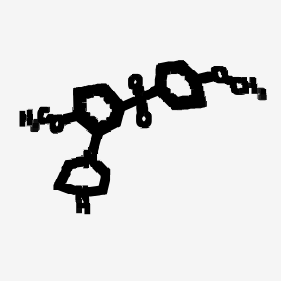 COc1ccc(S(=O)(=O)c2ccc(OC)c(N3CCNCC3)c2)cc1